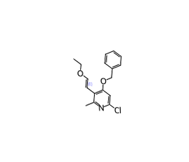 CCO/C=C/c1c(OCc2ccccc2)cc(Cl)nc1C